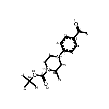 CC(=O)c1ccc(N2CCN(C(=O)OC(C)(C)C)C(C)C2)cc1